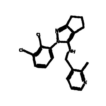 Cc1ncccc1CNc1c2c(nn1-c1cccc(Cl)c1Cl)CCC2